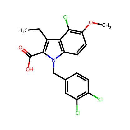 CCc1c(C(=O)O)n(Cc2ccc(Cl)c(Cl)c2)c2ccc(OC)c(Cl)c12